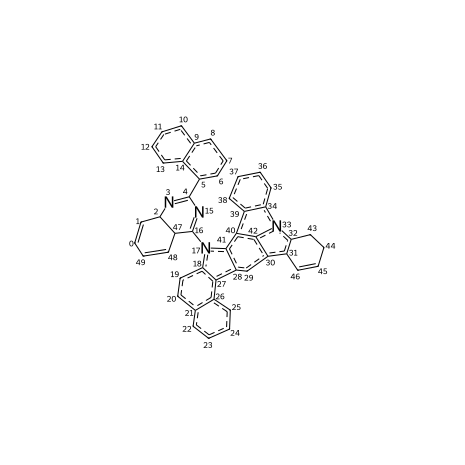 C1=CC2N=C(c3cccc4ccccc34)N=C(n3c4ccc5ccccc5c4c4cc5c6c(n7c8ccccc8c(c43)c57)CCC=C6)C2C=C1